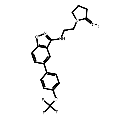 C=C1CCCN1CCNc1noc2ccc(-c3ccc(OC(F)(F)F)cc3)cc12